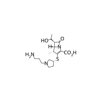 CC(O)[C@H]1C(=O)N2C(C(=O)O)=C(S[C@@H]3CCN(CCCN)C3)[C@H](C)[C@H]12